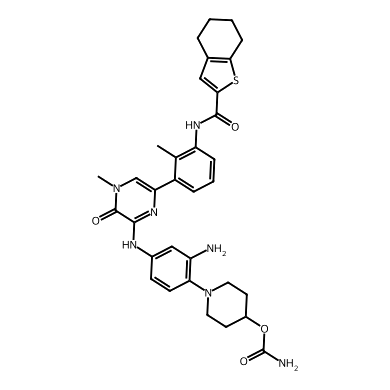 Cc1c(NC(=O)c2cc3c(s2)CCCC3)cccc1-c1cn(C)c(=O)c(Nc2ccc(N3CCC(OC(N)=O)CC3)c(N)c2)n1